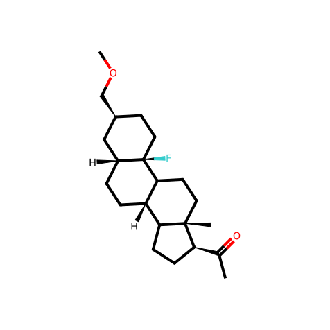 COC[C@H]1CC[C@]2(F)C3CC[C@@]4(C)C(CC[C@@H]4C(C)=O)[C@@H]3CC[C@@H]2C1